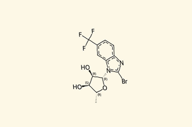 C[C@H]1O[C@@H](n2c(Br)nc3ccc(C(F)(F)F)cc32)[C@H](O)[C@@H]1O